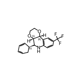 FC(F)(F)c1ccc2c(c1)[C@H]1OCCO[C@H]1C([C@@H]1C=CC=CC1)N2